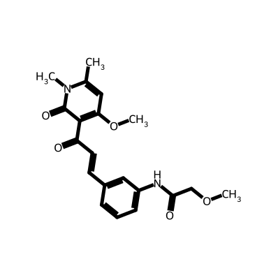 COCC(=O)Nc1cccc(C=CC(=O)c2c(OC)cc(C)n(C)c2=O)c1